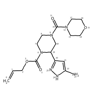 C=CCOC(=O)N1CCN(C(=O)N2CCOCC2)CC1c1cc(N)[nH]n1